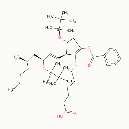 CCCC[C@@H](C)C[C@@H](/C=C/[C@@H]1C(SCCCCCC(=O)O)=C(OC(=O)c2ccccc2)C[C@H]1O[Si](C)(C)C(C)(C)C)O[Si](C)(C)C(C)(C)C